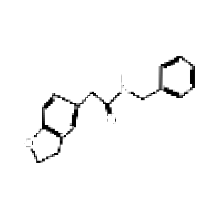 O=C(Cc1ccc2c(c1)CCO2)NCc1ccccc1